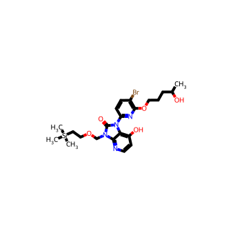 CC(O)CCCOc1nc(-n2c(=O)n(COCC[Si](C)(C)C)c3nccc(O)c32)ccc1Br